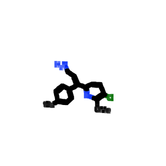 COc1nc(C(=CCN)c2ccc(C(C)(C)C)cc2)ccc1Cl